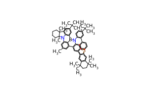 Cc1cc2c3c(c1)N1c4c(cc(C(C)(C)C)cc4C4(C)CCCCC14C)B3N(c1ccc(C(C)(C)C)cc1-c1ccccc1)c1cc3sc4cc5c(cc4c3cc1-2)C(C)(C)CCC5(C)C